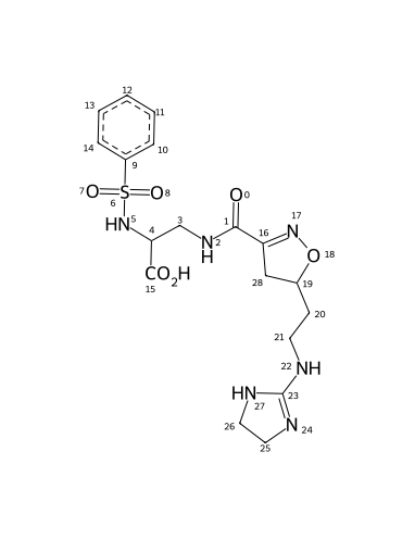 O=C(NCC(NS(=O)(=O)c1ccccc1)C(=O)O)C1=NOC(CCNC2=NCCN2)C1